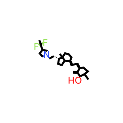 C=C1/C(=C\C=C2/CCCC3(C)C2CC[C@@H]3CCN2CCC(C(C)(F)F)C2)CCC(C)C1O